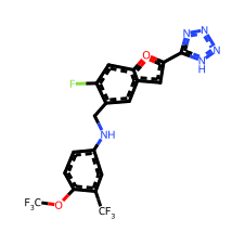 Fc1cc2oc(-c3nnn[nH]3)cc2cc1CNc1ccc(OC(F)(F)F)c(C(F)(F)F)c1